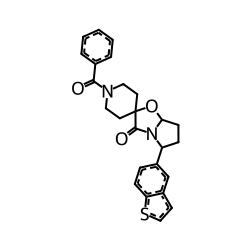 O=C(c1ccccc1)N1CCC2(CC1)OC1CCC(c3ccc4sccc4c3)N1C2=O